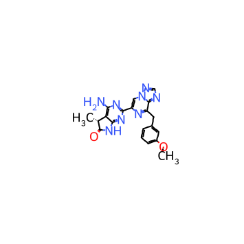 COc1cccc(Cc2nc(-c3nc(N)c4c(n3)NC(=O)[C@@H]4C)cn3ncnc23)c1